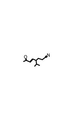 CC(=O)C=CC(CCC#N)C(C)C